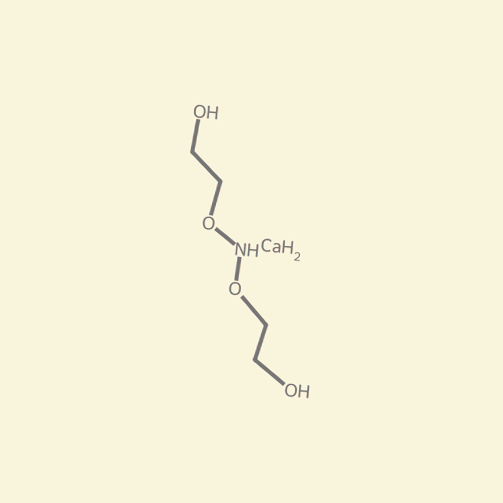 OCCONOCCO.[CaH2]